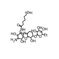 CCCCCCCCCCCCCCCC(=O)NCC1O[C@H](O[C@@H]2C(O)C(O[C@H]3OC(CC)[C@@H](O)C(O)C3O)CC[C@H]2N)C(O)[C@@H](N)[C@@H]1O